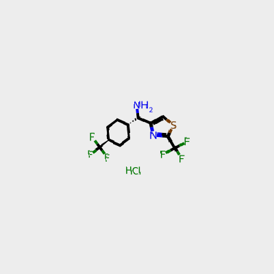 Cl.NC(c1csc(C(F)(F)F)n1)[C@H]1CC[C@H](C(F)(F)F)CC1